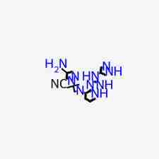 N#CCC1(n2cc(CN)cn2)CN(c2ccc[nH]/c2=N\C(=N)Nc2cn[nH]c2)C1